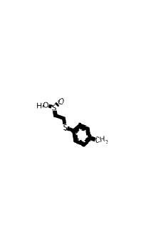 Cc1ccc(SCCS(=O)O)cc1